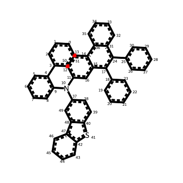 c1ccc(-c2ccccc2N(c2ccc3c(c2)c(-c2ccccc2)c(-c2ccccc2)c2ccccc23)c2ccc3sc4ccccc4c3c2)cc1